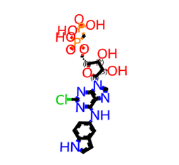 O=P(O)(O)CP(=O)(O)OC[C@H]1O[C@@H](n2cnc3c(Nc4ccc5[nH]ccc5c4)nc(Cl)nc32)[C@@H](O)[C@H]1O